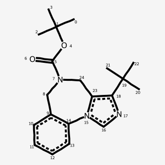 CC(C)(C)OC(=O)N1Cc2ccccc2-n2cnc(C(C)(C)C)c2C1